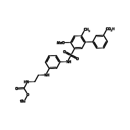 COc1cc(C)c(-c2cccc(C(=O)O)c2)cc1S(=O)(=O)Nc1cccc(NCCNC(=O)OC(C)(C)C)c1